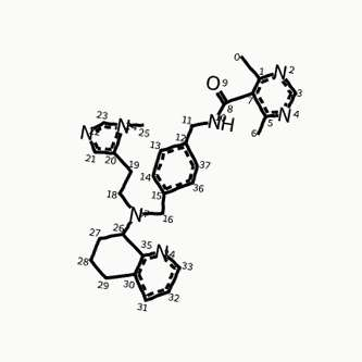 Cc1ncnc(C)c1C(=O)NCc1ccc(CN(CCc2cncn2C)C2CCCc3cccnc32)cc1